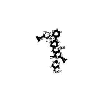 CCCCc1nc(C2CC2)n(-c2ncc(OC)cn2)c(=O)c1Cc1ccc(-c2ccccc2S(=O)(=O)NC(=O)C2CC2)cc1